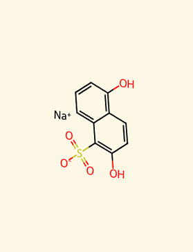 O=S(=O)([O-])c1c(O)ccc2c(O)cccc12.[Na+]